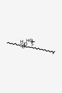 CC(O)=S.CCCCCCCCC[SiH2]OC(=O)CCCCCCCCCCCCCCCCC(C)C